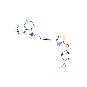 COc1ccc(Oc2nc(C#CCCNc3ncnc4ccccc34)cs2)cc1